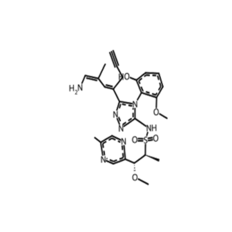 C#CC/C(=C\C(C)=C/N)c1nnc(NS(=O)(=O)[C@@H](C)[C@H](OC)c2cnc(C)cn2)n1-c1c(O)cccc1OC